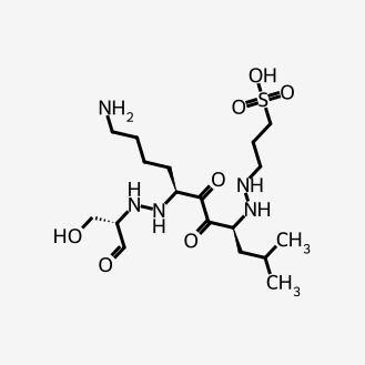 CC(C)C[C@H](NNCCCS(=O)(=O)O)C(=O)C(=O)[C@H](CCCCN)NN[C@H](C=O)CO